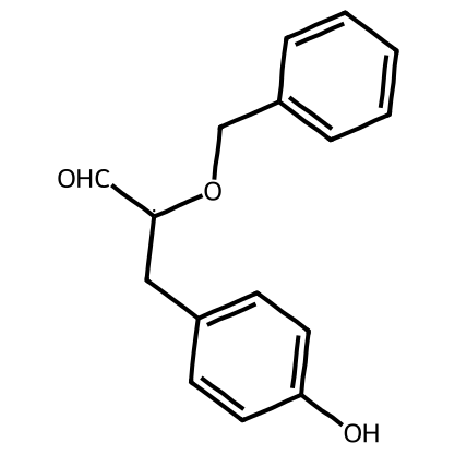 O=C[C](Cc1ccc(O)cc1)OCc1ccccc1